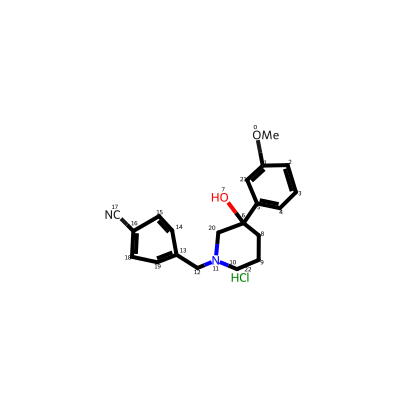 COc1cccc(C2(O)CCCN(Cc3ccc(C#N)cc3)C2)c1.Cl